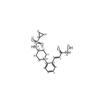 O=C(/C=C/c1ccccc1N1CCC(NS(=O)(=O)C2CC2)CC1)NO